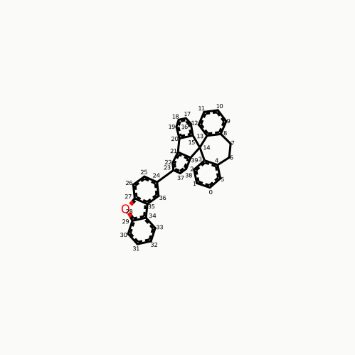 c1ccc2c(c1)CCc1ccccc1C21c2ccccc2-c2cc(-c3ccc4oc5ccccc5c4c3)ccc21